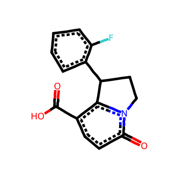 O=C(O)c1ccc(=O)n2c1C(c1ccccc1F)CC2